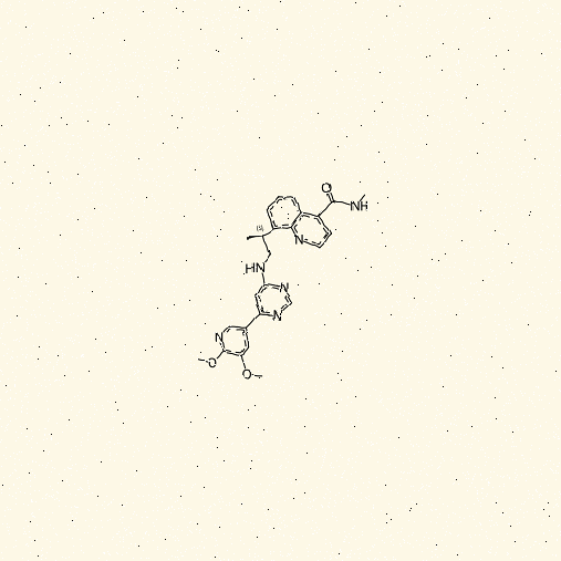 CNC(=O)c1ccnc2c([C@H](C)CNc3cc(-c4cnc(OC)c(OC)c4)ncn3)cccc12